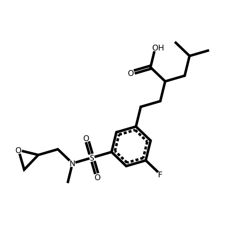 CC(C)CC(CCc1cc(F)cc(S(=O)(=O)N(C)CC2CO2)c1)C(=O)O